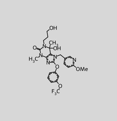 COc1ccc(Cn2c(Oc3cccc(OC(F)(F)F)c3)nc3c2C(C)(O)N(CCCO)C(=O)N3C)cn1